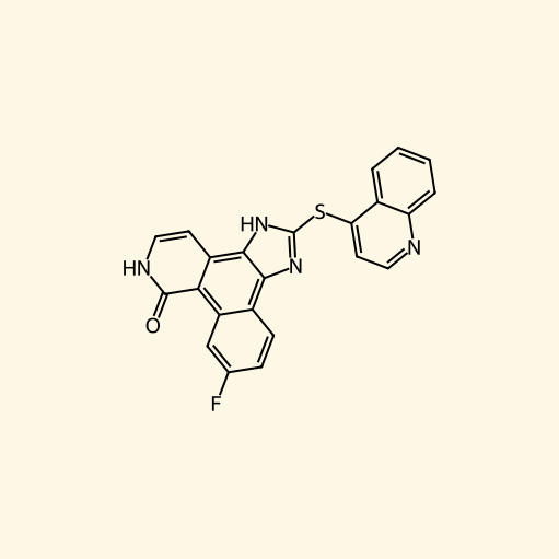 O=c1[nH]ccc2c3[nH]c(Sc4ccnc5ccccc45)nc3c3ccc(F)cc3c12